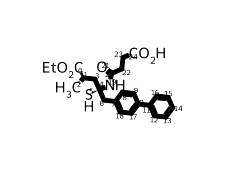 CCOC(=O)[C@H](C)C[C@](S)(Cc1ccc(-c2ccccc2)cc1)NC(=O)CCC(=O)O